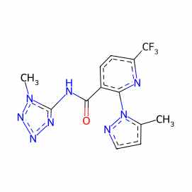 Cc1ccnn1-c1nc(C(F)(F)F)ccc1C(=O)Nc1nnnn1C